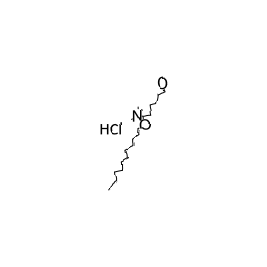 CCCCCCCCCCCCOC(CCCCC=O)N(C)C.Cl